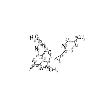 Cc1ccc([C@H]2C[C@@H]2COc2nc(C)ncc2-c2cn(C)nc2C(F)F)nc1